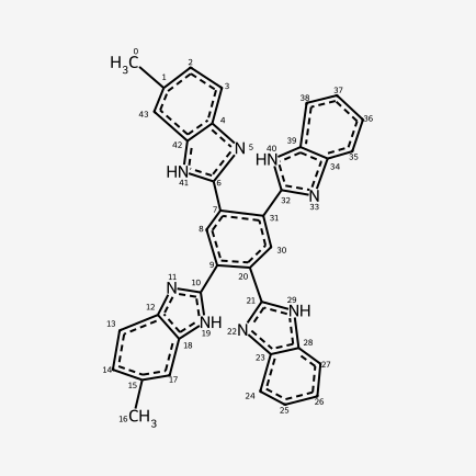 Cc1ccc2nc(-c3cc(-c4nc5ccc(C)cc5[nH]4)c(-c4nc5ccccc5[nH]4)cc3-c3nc4ccccc4[nH]3)[nH]c2c1